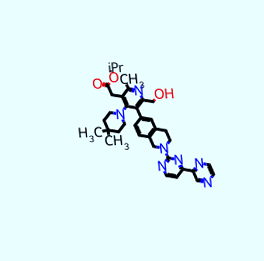 Cc1nc(CO)c(-c2ccc3c(c2)CCN(c2nccc(-c4cnccn4)n2)C3)c(N2CCC(C)(C)CC2)c1CC(=O)OC(C)C